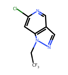 FC(F)(F)Cn1ncc2cnc(Cl)cc21